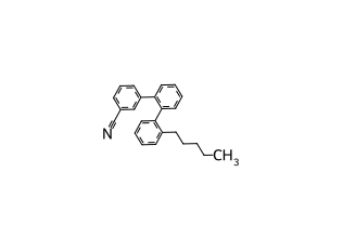 CCCCCc1ccccc1-c1ccccc1-c1cccc(C#N)c1